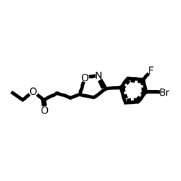 CCOC(=O)CCC1CC(c2ccc(Br)c(F)c2)=NO1